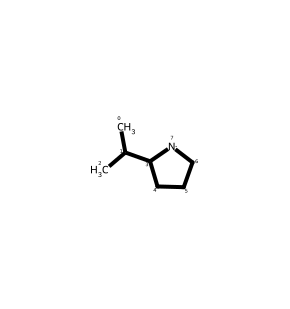 CC(C)C1CCC[N]1